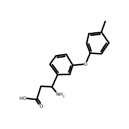 Cc1ccc(Oc2cccc(C(N)CC(=O)O)c2)cc1